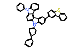 c1ccc(-c2ccc(-n3c4ccc(-c5ccc6sc7ccccc7c6c5)cc4c4c5c6ccccc6n(-c6ccccc6)c5ccc43)cc2)cc1